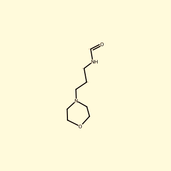 O=[C]N[CH][CH]CN1CCOCC1